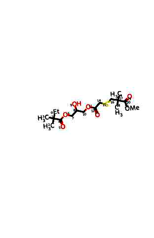 CCC(C)(C)C(=O)OCC(O)COC(=O)CSCC(C)(C)C(=O)OC